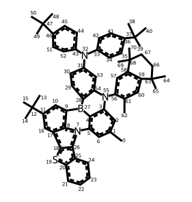 Cc1cc2c3c(c1)-n1c4c(cc(C(C)(C)C)cc4c4sc5ccccc5c41)B3c1ccc(N(c3ccc(C(C)(C)C)cc3)c3ccc(C(C)(C)C)cc3)cc1N2c1cc2c(cc1C)C(C)(C)CCC2(C)C